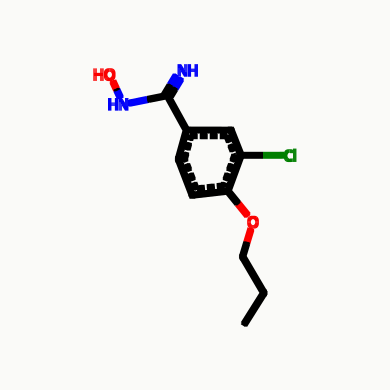 CCCOc1ccc(C(=N)NO)cc1Cl